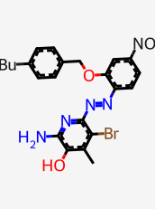 Cc1c(O)c(N)nc(N=Nc2ccc([N+](=O)[O-])cc2OCc2ccc(C(C)(C)C)cc2)c1Br